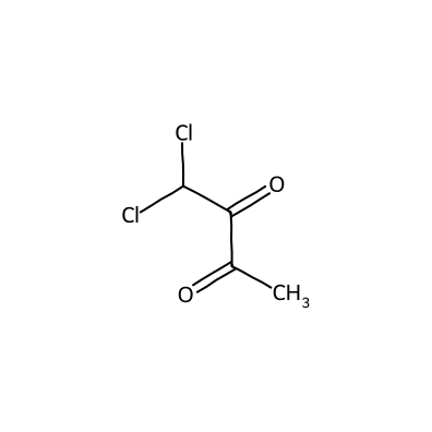 CC(=O)C(=O)C(Cl)Cl